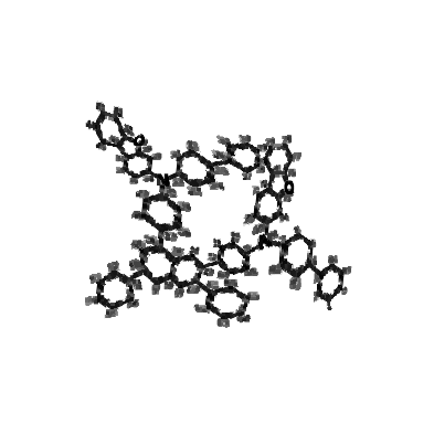 c1ccc(-c2ccc(N(c3ccc(-c4cc5c(-c6ccc(N(c7ccc(-c8ccccc8)cc7)c7ccc8c(c7)oc7ccccc78)cc6)cc(-c6ccccc6)cc5cc4-c4ccccc4)cc3)c3ccc4c(c3)oc3ccccc34)cc2)cc1